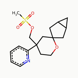 CS(=O)(=O)OCC1(c2ccccn2)CCOC2(CC3CC3C2)C1